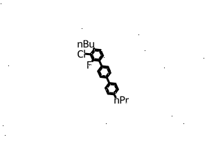 CCCCc1ccc(-c2ccc(-c3ccc(CCC)cc3)cc2)c(F)c1Cl